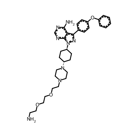 NCCOCCOCCN1CCN([C@H]2CC[C@H](n3nc(-c4ccc(Oc5ccccc5)cc4)c4c(N)ncnc43)CC2)CC1